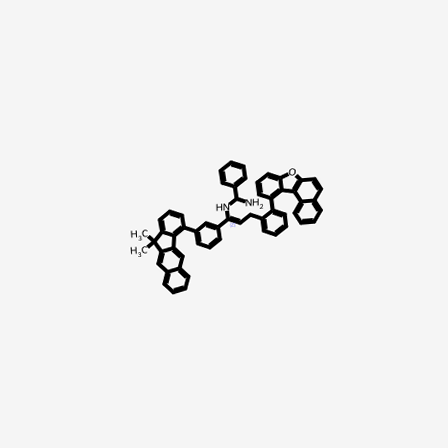 CC1(C)c2cc3ccccc3cc2-c2c(-c3cccc(/C(=C/Cc4ccccc4-c4cccc5oc6ccc7ccccc7c6c45)NC(N)c4ccccc4)c3)cccc21